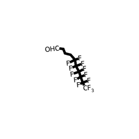 O=CCCCC(F)(F)C(F)(F)C(F)(F)C(F)(F)C(F)(F)C(F)(F)F